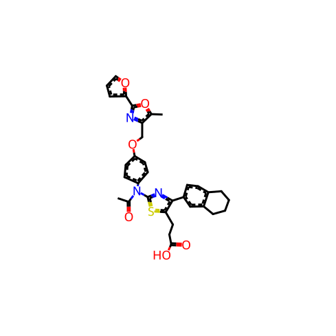 CC(=O)N(c1ccc(OCc2nc(-c3ccco3)oc2C)cc1)c1nc(-c2ccc3c(c2)CCCC3)c(CCC(=O)O)s1